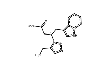 COC(=O)C[C@@H](Cc1c[nH]c2ccccc12)n1nncc1CN